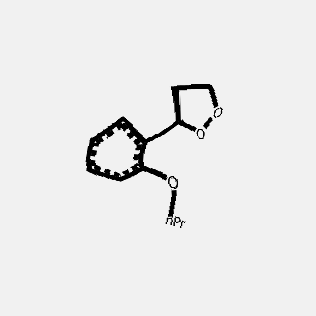 CCCOc1ccccc1[C]1CCOO1